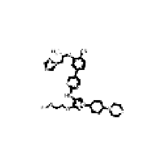 CCOCCOc1nn(C2CCC(N3CCOCC3)CC2)cc1Nc1ncc(-c2ccc(C#N)c(O[C@@H](C)Cn3cncn3)c2)cn1